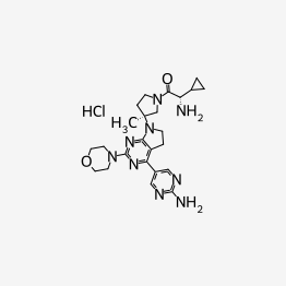 C[C@]1(N2CCc3c(-c4cnc(N)nc4)nc(N4CCOCC4)nc32)CCN(C(=O)[C@@H](N)C2CC2)C1.Cl